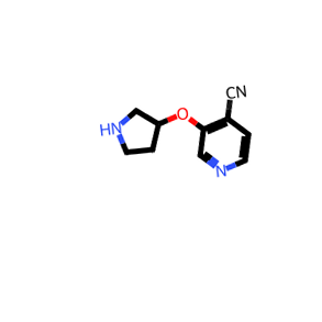 N#Cc1ccncc1OC1CCNC1